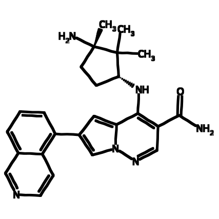 CC1(C)[C@H](Nc2c(C(N)=O)cnn3cc(-c4cccc5cnccc45)cc23)CC[C@]1(C)N